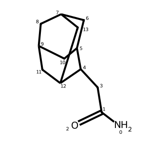 NC(=O)CC1C2CC3CC(C2)CC1C3